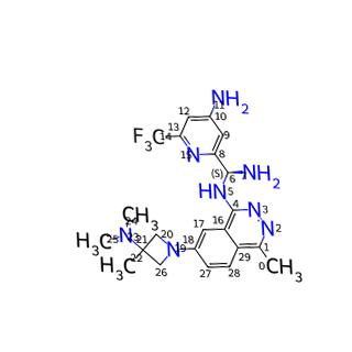 Cc1nnc(N[C@H](N)c2cc(N)cc(C(F)(F)F)n2)c2cc(N3CC(C)(N(C)C)C3)ccc12